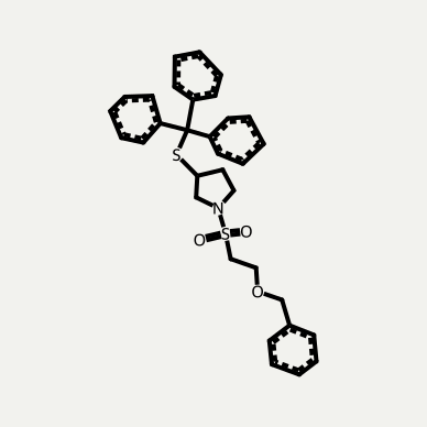 O=S(=O)(CCOCc1ccccc1)N1CCC(SC(c2ccccc2)(c2ccccc2)c2ccccc2)C1